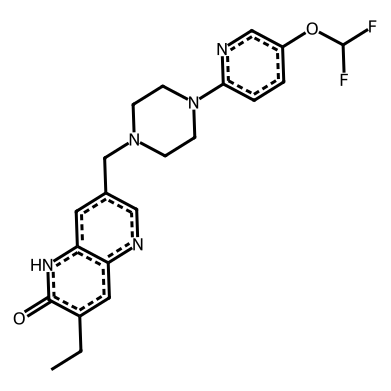 CCc1cc2ncc(CN3CCN(c4ccc(OC(F)F)cn4)CC3)cc2[nH]c1=O